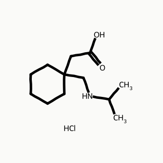 CC(C)NCC1(CC(=O)O)CCCCC1.Cl